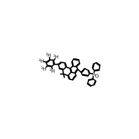 [2H]c1c([2H])c([2H])c(-c2ccc3c(c2)C(C)(C)c2cccc4c(-c5ccc(P(=O)(c6ccccc6)c6ccccc6)cc5)c5ccccc5c-3c24)c([2H])c1[2H]